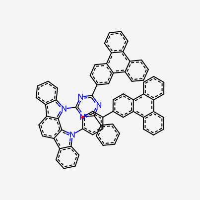 c1ccc(-c2nc(-c3ccc4c5ccccc5c5ccccc5c4c3)nc(-n3c4ccccc4c4ccc5c6ccccc6n(-c6ccc(-c7ccc8c9ccccc9c9ccccc9c8c7)cc6)c5c43)n2)cc1